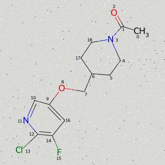 CC(=O)N1CCC(COc2cnc(Cl)c(F)c2)CC1